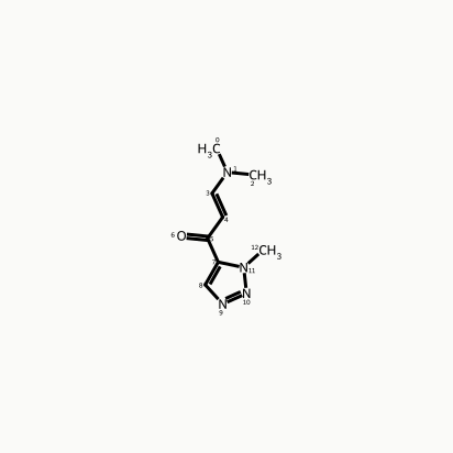 CN(C)C=CC(=O)c1cnnn1C